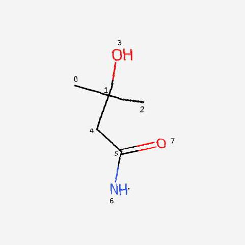 CC(C)(O)CC([NH])=O